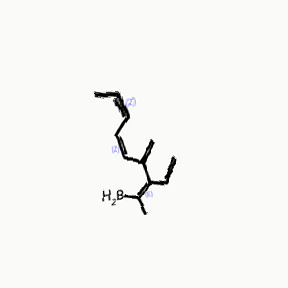 B/C(C)=C(/C=C)C(=C)/C=C\C=C/C